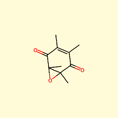 CC1=C(C)C(=O)C2(C)OC2(C)C1=O